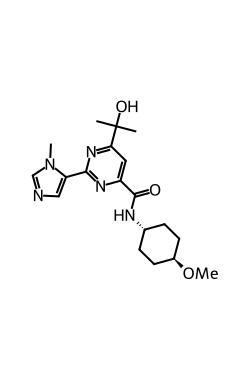 CO[C@H]1CC[C@H](NC(=O)c2cc(C(C)(C)O)nc(-c3cncn3C)n2)CC1